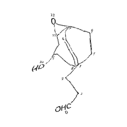 O=CCCC=CC12[CH]CCC(O)C1O2